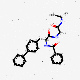 CC(C)[C@@H](C=O)NC(=O)[C@H](C)NC(=O)[C@@H](Cc1ccc(-c2ccccc2)cc1)NC(=O)c1ccccc1